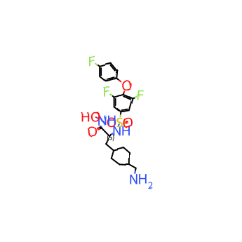 NCC1CCC(C[C@H](NS(=O)(=O)c2cc(F)c(Oc3ccc(F)cc3)c(F)c2)C(=O)NO)CC1